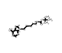 CC(C)(C)OC(=O)NCCCCCn1cnc2c(Cl)ncnc21